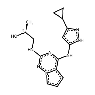 C[C@H](O)CNc1nc(Nc2cc(C3CC3)n[nH]2)c2cccn2n1